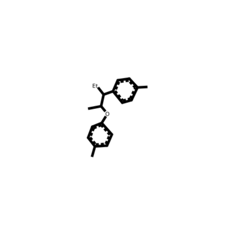 CCC(c1ccc(C)cc1)C(C)Oc1ccc(C)cc1